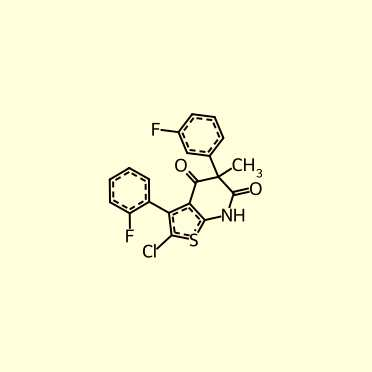 CC1(c2cccc(F)c2)C(=O)Nc2sc(Cl)c(-c3ccccc3F)c2C1=O